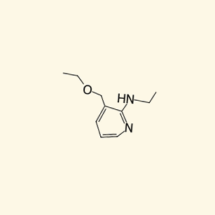 CCNc1ncccc1COCC